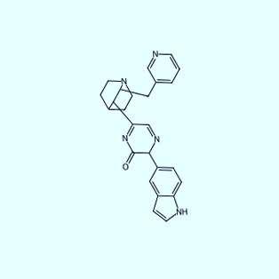 O=C1N=C(C2C3CCN(CC3)C2Cc2cccnc2)C=NC1c1ccc2[nH]ccc2c1